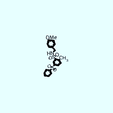 COc1ccc(CNS(=O)(=O)c2cc(S(=O)(=O)c3ccccc3)ccc2C)cc1